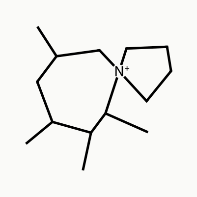 CC1CC(C)C(C)C(C)[N+]2(CCCC2)C1